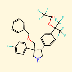 O=C(OC(c1ccc([C@@H]2CNC[C@]2(COCc2ccccc2)c2ccc(F)cc2)cc1)(C(F)(F)F)C(F)(F)F)C(F)(F)F